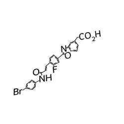 O=C(O)Cc1ccc2oc(-c3ccc(/C=C/C(=O)Nc4ccc(Br)cc4)c(F)c3)nc2c1